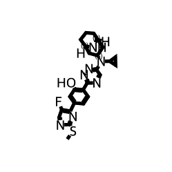 CSc1ncc(F)c(-c2ccc(-c3ncc(N(C4CC4)[C@@H]4C[C@H]5CCC[C@@H](C4)N5)nn3)c(O)c2)n1